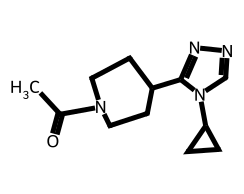 CC(=O)N1CCC(c2nncn2C2CC2)CC1